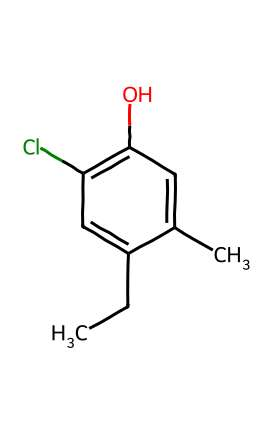 CCc1cc(Cl)c(O)cc1C